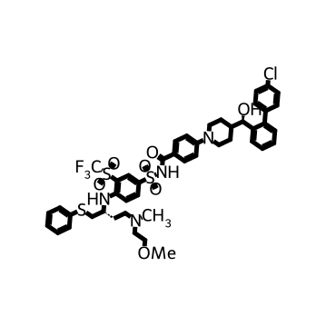 COCCN(C)CC[C@H](CSc1ccccc1)Nc1ccc(S(=O)(=O)NC(=O)c2ccc(N3CCC([C@@H](O)c4ccccc4-c4ccc(Cl)cc4)CC3)cc2)cc1S(=O)(=O)C(F)(F)F